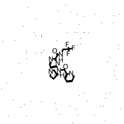 O=C(NCC(F)(F)F)c1ncc2c(n1)N(C(=O)c1ccccn1)[C@H]1CCN2C1